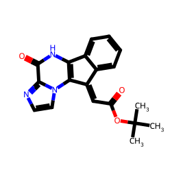 CC(C)(C)OC(=O)C=c1c2ccccc2c2[nH]c(=O)c3nccn3c12